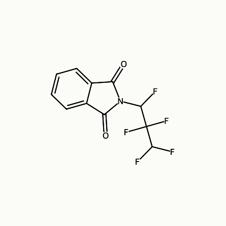 O=C1c2ccccc2C(=O)N1C(F)C(F)(F)C(F)F